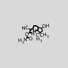 CC1(C)CC(O)c2ccc3c(C#N)c(OC(N)=O)nn3c21